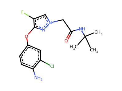 CC(C)(C)NC(=O)Cn1cc(F)c(Oc2ccc(N)c(Cl)c2)n1